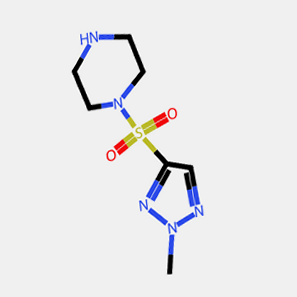 Cn1ncc(S(=O)(=O)N2CCNCC2)n1